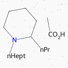 CC(=O)O.CCCCCCCN1CCCCC1CCC